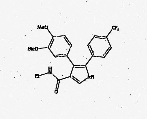 CCNC(=O)c1c[nH]c(-c2ccc(C(F)(F)F)cc2)c1-c1ccc(OC)c(OC)c1